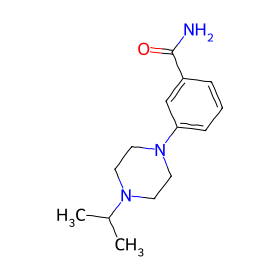 CC(C)N1CCN(c2cccc(C(N)=O)c2)CC1